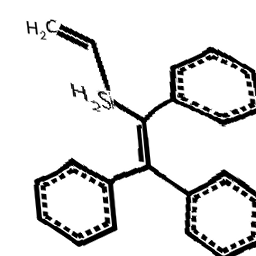 C=C[SiH2]C(=C(c1ccccc1)c1ccccc1)c1ccccc1